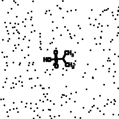 [CH2]C(C)S(=O)(=O)O